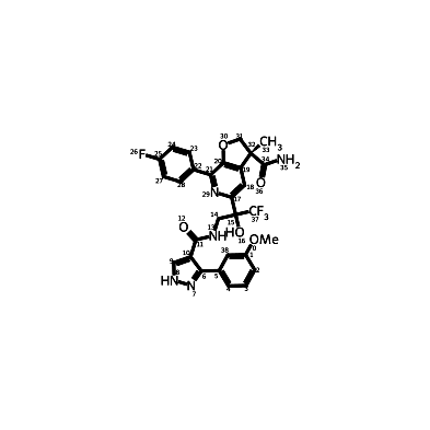 COc1cccc(-c2n[nH]cc2C(=O)NCC(O)(c2cc3c(c(-c4ccc(F)cc4)n2)OC[C@]3(C)C(N)=O)C(F)(F)F)c1